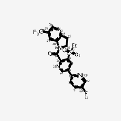 CCS(=O)(=O)c1cc(-c2ccc(F)cn2)cnc1C(=O)N1CCc2ncc(C(F)(F)F)cc21